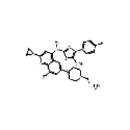 CCN(c1nc(-c2ccc(F)cc2)c(C#N)s1)c1cc(C2CC2)nc2c(F)cc(N3CCN(CC(=O)O)CC3)cc12